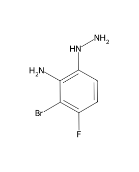 NNc1ccc(F)c(Br)c1N